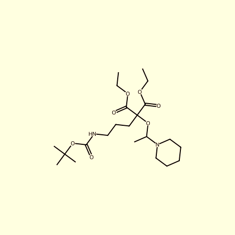 CCOC(=O)C(CCCNC(=O)OC(C)(C)C)(OC(C)N1CCCCC1)C(=O)OCC